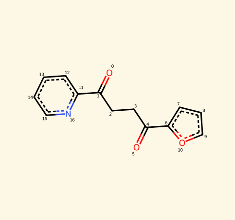 O=C(CCC(=O)c1ccco1)c1ccccn1